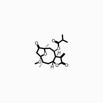 C=C1C(=O)O[C@@H]2C[C@H](C)[C@@]3(OC)CC(=O)[C@@](C)(C[C@@H](OC(=O)C(C)C)[C@@H]12)O3